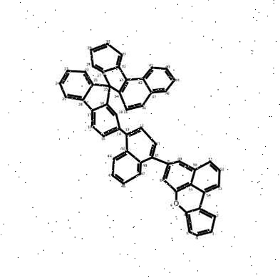 c1ccc2c(c1)Oc1cc(-c3ccc(-c4ccc5c(c4)C4(c6ccccc6-5)c5ccccc5-c5c4ccc4ccccc54)c4ccccc34)cc3cccc-2c13